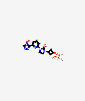 CS(=O)(=O)OC1CC(N2CCN(c3cccc(-c4nncn4O)n3)C2=O)C1